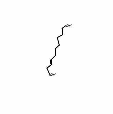 [CH2]CCCCCCCCCCC=CCCCCCCCCCCCCCCC[CH2]